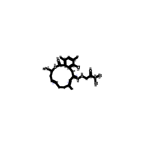 CCCC1C/C=C/CC/C(C)=C/C(=N/OCC(=O)N(CC)CC)Cc2c(Cl)c(C)cc(C)c2C(=O)O1